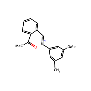 COC(=O)c1ccccc1/C=C/c1cc(C)cc(OC)c1